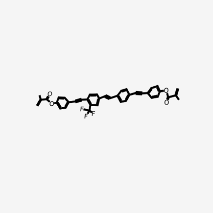 C=C(C)C(=O)Oc1ccc(C#Cc2ccc(C#Cc3ccc(C#Cc4ccc(OC(=O)C(=C)C)cc4)c(C(F)(F)F)c3)cc2)cc1